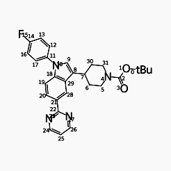 CC(C)(C)OC(=O)N1CCC(c2cn(-c3ccc(F)cc3)c3ccc(-c4ncccn4)cc23)CC1